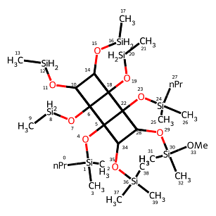 CCC[Si](C)(C)OC12C3(O[SiH2]C)C4(O[SiH2]C)C5(O[SiH2]C)C3(O[SiH2]C)C1(O[Si](C)(C)CCC)C5(O[Si](C)(C)OC)C42O[Si](C)(C)C